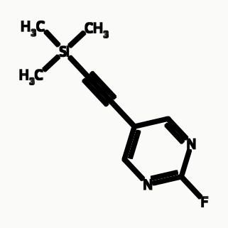 C[Si](C)(C)C#Cc1cnc(F)nc1